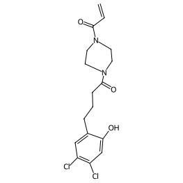 C=CC(=O)N1CCN(C(=O)CCCc2cc(Cl)c(Cl)cc2O)CC1